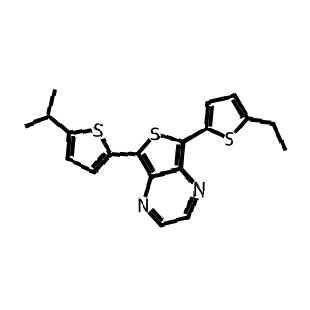 CCc1ccc(-c2sc(-c3ccc(C(C)C)s3)c3nccnc23)s1